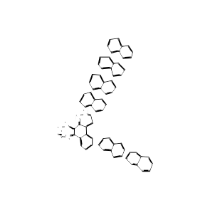 c1ccc2c(c1)c1ccnnc1c1nnnnc21.c1ccc2ccccc2c1.c1ccc2ccccc2c1.c1ccc2ccccc2c1.c1ccc2ccccc2c1.c1ccc2ccccc2c1.c1ccc2ccccc2c1